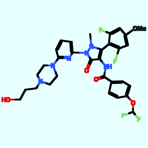 COc1cc(F)c(-c2c(NC(=O)c3ccc(OC(F)F)cc3)c(=O)n(-c3cccc(N4CCN(CCCO)CC4)n3)n2C)c(F)c1